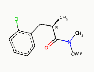 CON(C)C(=O)[C@H](C)Cc1ccccc1Cl